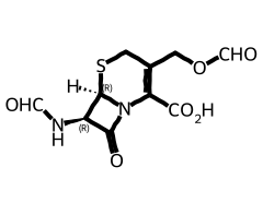 O=CN[C@@H]1C(=O)N2C(C(=O)O)=C(COC=O)CS[C@H]12